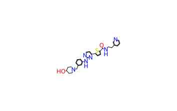 O=C(NCCc1cccnc1)c1ccc(-c2ccnc(Nc3cccc(CN4CCC(O)CC4)c3)n2)s1